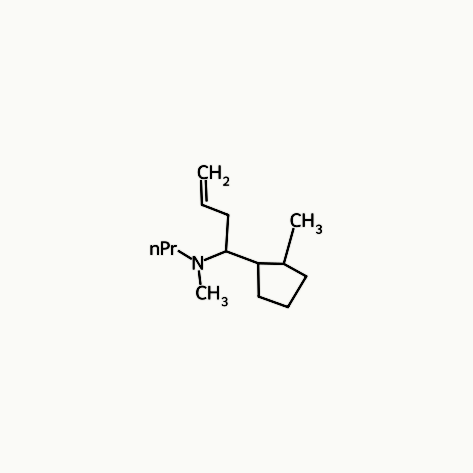 C=CCC(C1CCCC1C)N(C)CCC